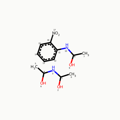 CC(O)NC(C)O.CC(O)Nc1ccccc1[N+](=O)[O-]